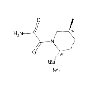 C[C@H]1CC[C@H](C(C)(C)C)N(C(=O)C(N)=O)C1.N